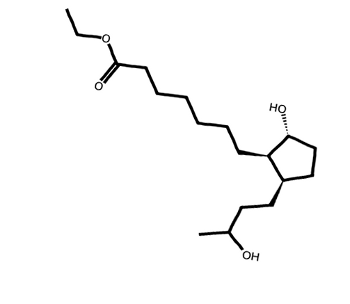 CCOC(=O)CCCCCC[C@@H]1[C@H](CCC(C)O)CC[C@H]1O